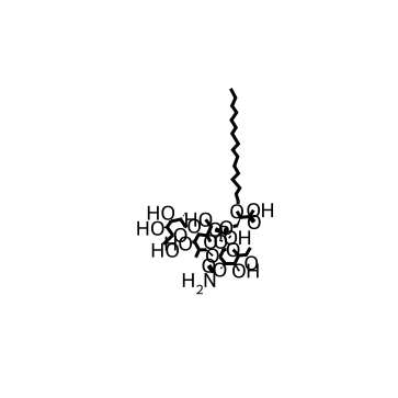 CCCCCCCCCCCCCCCCO[C@H](COP(=O)(O)O[C@H]1OC(C(C)=O)[C@@H](O)[C@H](OC(N)=O)C1O[C@@H]1OC(CO)[C@@H](O[C@@H]2OC(CO)[C@H](O)C(O)[C@@H]2C)C(O)C1C)C(=O)O